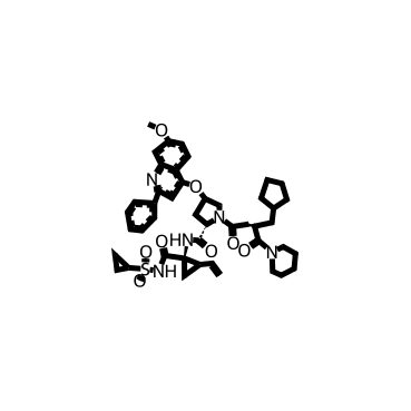 C=CC1C[C@]1(NC(=O)[C@@H]1CC(Oc2cc(-c3ccccc3)nc3cc(OC)ccc23)CN1C(=O)C[C@@H](CC1CCCC1)C(=O)N1CCCCC1)C(=O)NS(=O)(=O)C1CC1